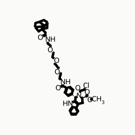 COC(=O)[C@H]1Cc2c([nH]c3ccccc23)[C@H](c2ccc(C(=O)NCCOCCOCCOCCNC(=O)CC34CC5CC(CC(C5)C3)C4)cc2)N1C(=O)CCl